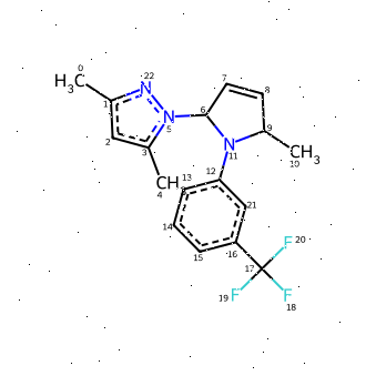 Cc1cc(C)n(C2C=CC(C)N2c2cccc(C(F)(F)F)c2)n1